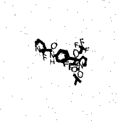 CC(C)(C)OC(=O)N1CCCC1C(OCC(F)(F)F)(c1ccc(NC(=O)c2cccnc2F)cc1)C(F)(F)F